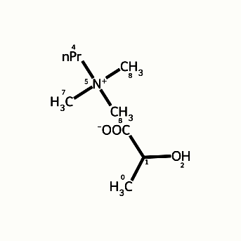 CC(O)C(=O)[O-].CCC[N+](C)(C)C